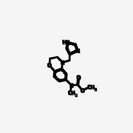 COC(=O)N(C)c1ccc2c(c1)N(Cc1c[nH]cn1)CCO2